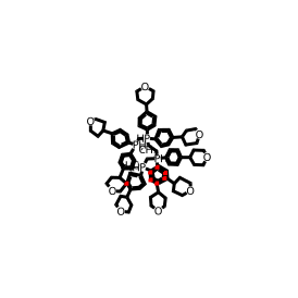 C[PH](C[PH](CC[PH](C[PH](C)(c1ccc(C2CCOCC2)cc1)c1ccc(C2CCOCC2)cc1)(c1ccc(C2CCOCC2)cc1)c1ccc(C2CCOCC2)cc1)(c1ccc(C2CCOCC2)cc1)c1ccc(C2CCOCC2)cc1)(c1ccc(C2CCOCC2)cc1)c1ccc(C2CCOCC2)cc1